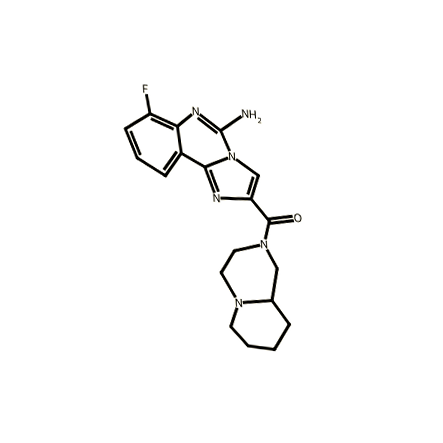 Nc1nc2c(F)cccc2c2nc(C(=O)N3CCN4CCCCC4C3)cn12